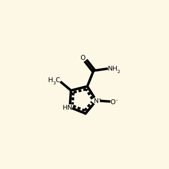 Cc1[nH]c[n+]([O-])c1C(N)=O